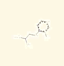 CCCCCCC(N)CNc1ccnc[n+]1[O-]